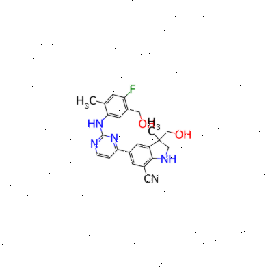 Cc1cc(F)c(CO)cc1Nc1nccc(-c2cc(C#N)c3c(c2)C(C)(CO)CN3)n1